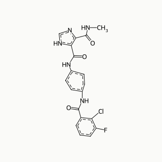 CNC(=O)c1nc[nH]c1C(=O)Nc1ccc(NC(=O)c2cccc(F)c2Cl)cc1